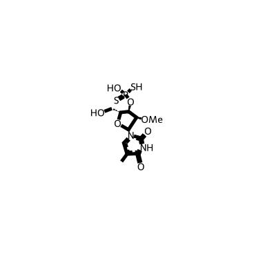 CO[C@@H]1[C@H](OP(O)(=S)S)[C@@H](CO)O[C@H]1n1cc(C)c(=O)[nH]c1=O